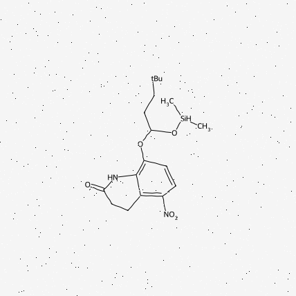 C[SiH](C)OC(CCC(C)(C)C)Oc1ccc([N+](=O)[O-])c2c1NC(=O)CC2